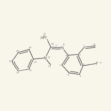 C=Cc1c(F)cccc1/N=C(/CCC)N(C)c1ccccc1